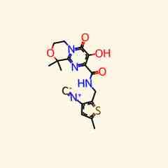 [C-]#[N+]c1cc(C)sc1CNC(=O)c1nc2n(c(=O)c1O)CCOC2(C)C